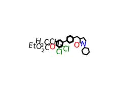 CCOC(=O)C(C)(C)Oc1ccc(-c2ccc(CC3CCN(C4CCCCC4)C3=O)cc2)c(Cl)c1Cl